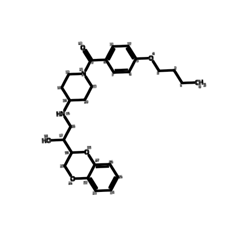 CCCCOc1ccc(C(=O)N2CCC(NCC(O)C3COc4ccccc4O3)CC2)cc1